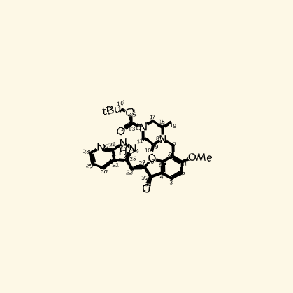 COc1ccc2c(c1CN1C(C)CN(C(=O)OC(C)(C)C)CC1C)OC(=Cc1n[nH]c3ncccc13)C2=O